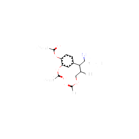 CCCC(C)C(=O)Oc1ccc(C(C(C)COC(=O)CC)[C@H](N)C(=O)O)cc1OC(=O)C(C)CCC